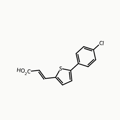 O=C(O)C=Cc1ccc(-c2ccc(Cl)cc2)s1